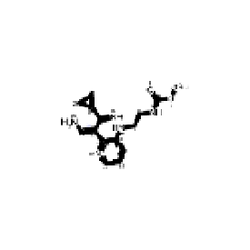 CC(C)(C)OC(=O)NCCNc1cccnc1/C(=C/N)C(=N)C1CC1